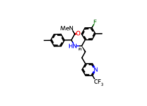 CNC(=O)C(N[C@H](CCc1ccc(C(F)(F)F)nc1)c1ccc(F)c(C)c1)c1ccc(C)cc1